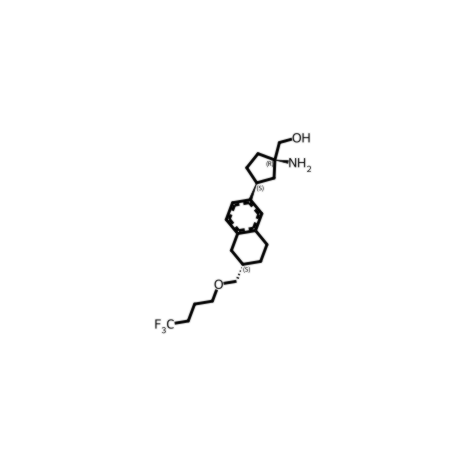 N[C@]1(CO)CC[C@H](c2ccc3c(c2)CC[C@H](COCCCC(F)(F)F)C3)C1